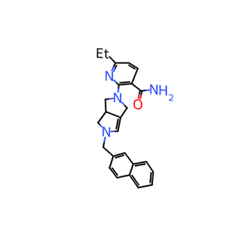 CCc1ccc(C(N)=O)c(N2CC3=CN(Cc4ccc5ccccc5c4)CC3C2)n1